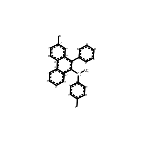 Cc1ccc([S+]([O-])c2c(-c3ccccc3)c3cc(C)ccc3c3ccccc23)cc1